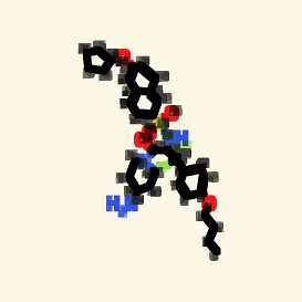 CCCCOc1ccc(C(F)(F)C(NS(=O)(=O)c2ccc3cc(OC4CCCC4)ccc3c2)C(=O)N2CCC(N)CC2)cc1